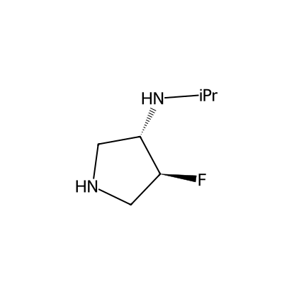 CC(C)N[C@H]1CNC[C@@H]1F